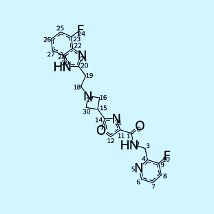 O=C(NCc1ncccc1F)c1coc(C2CN(CCc3nc4c(F)cccc4[nH]3)C2)n1